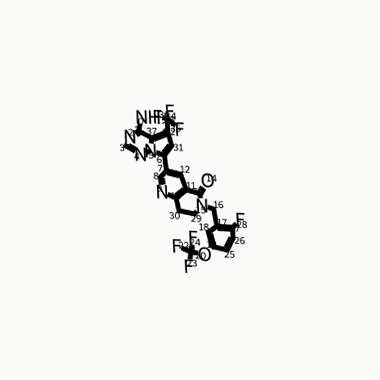 Nc1ncnn2c(-c3cnc4c(c3)C(=O)N(Cc3cc(OC(F)(F)F)ccc3F)CC4)cc(C(F)(F)F)c12